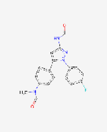 CN(C=O)c1ccc(-c2cc(NC=O)nn2-c2ccc(F)cc2)cc1